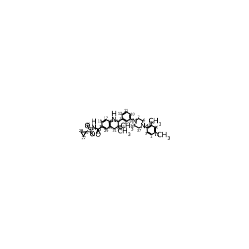 Cc1ccc(N2CCN(c3cccc(C4Nc5ccc(C(=O)NS(=O)(=O)C6CC6)cc5CC4(C)C)c3)CC2)c(C)c1